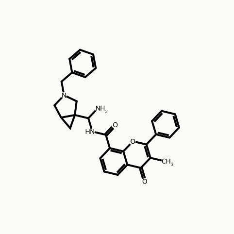 Cc1c(-c2ccccc2)oc2c(C(=O)NC(N)C34CC3CN(Cc3ccccc3)C4)cccc2c1=O